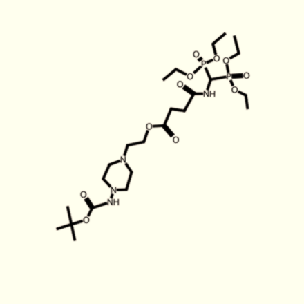 CCOP(=O)(OCC)C(NC(=O)CCC(=O)OCCN1CCN(NC(=O)OC(C)(C)C)CC1)P(=O)(OCC)OCC